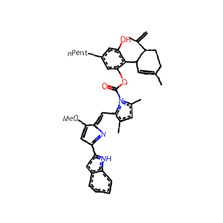 C=C(C)C1CCC(C)=CC1c1c(O)cc(CCCCC)cc1OC(=O)n1c(C)cc(C)c1/C=C1\N=C(c2cc3ccccc3[nH]2)C=C1OC